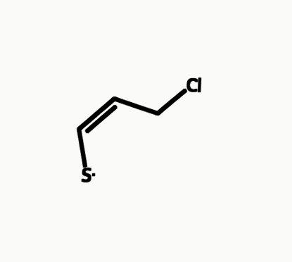 [S]/C=C\CCl